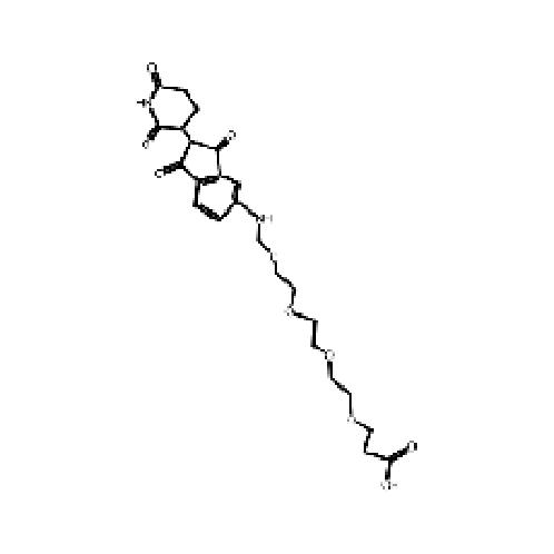 O=C(O)CCOCCOCCOCCOCNc1ccc2c(c1)C(=O)C(C1CCC(=O)NC1=O)C2=O